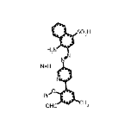 Cc1cc(C=O)c(OC(C)C)c(-c2ccc(N=Nc3cc(S(=O)(=O)O)c4ccccc4c3N)cn2)c1.[NaH]